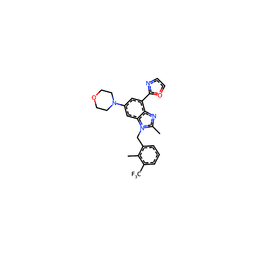 Cc1c(Cn2c(C)nc3c(-c4ncco4)cc(N4CCOCC4)cc32)cccc1C(F)(F)F